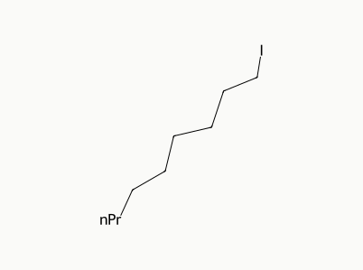 CCCCCCCCCI